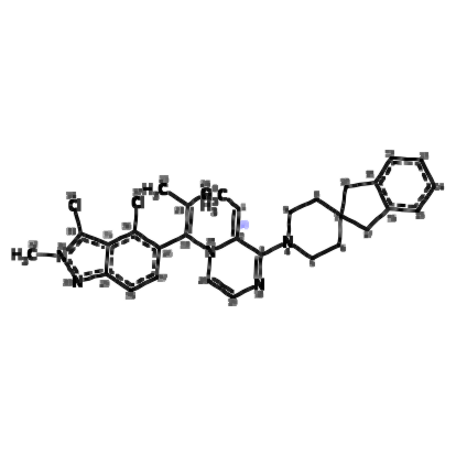 C/C=C1/C(N2CCC3(CC2)Cc2ccccc2C3)=NC=CN1C(=C(C)C)c1ccc2nn(C)c(Cl)c2c1Cl